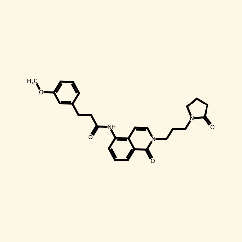 COc1cccc(CCC(=O)Nc2cccc3c(=O)n(CCCN4CCCC4=O)ccc23)c1